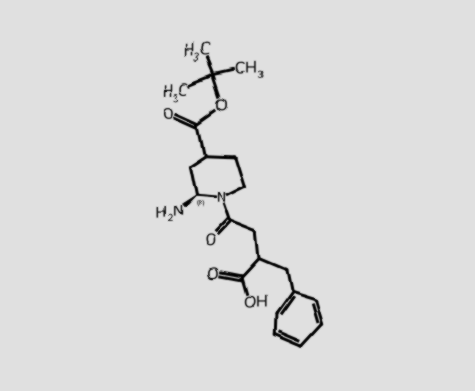 CC(C)(C)OC(=O)C1CCN(C(=O)CC(Cc2ccccc2)C(=O)O)[C@@H](N)C1